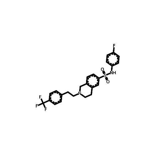 O=S(=O)(Nc1ccc(F)cc1)c1ccc2c(c1)CCN(CCc1ccc(C(F)(F)F)cc1)C2